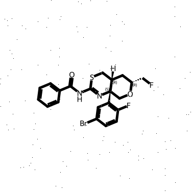 O=C(NC1=N[C@@]2(c3cc(Br)ccc3F)CO[C@@H](CF)C[C@H]2CS1)c1ccccc1